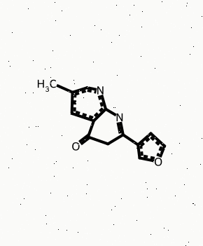 Cc1cnc2c(c1)C(=O)CC(c1ccoc1)=N2